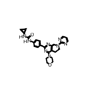 O=C(Nc1ccc(-c2nc3c(c(N4CCOCC4)n2)CCN(c2ncccn2)C3)cc1)NC1CC1